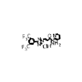 Cl.NN(C(=O)C=Cn1cnc(-c2cc(C(F)(F)F)cc(C(F)(F)F)c2)n1)c1ccccn1